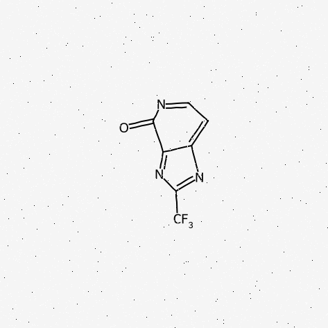 O=C1N=CC=C2N=C(C(F)(F)F)N=C12